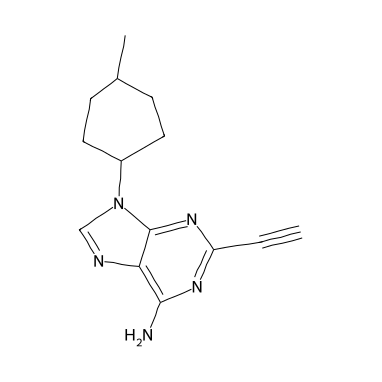 C#Cc1nc(N)c2ncn(C3CCC(C)CC3)c2n1